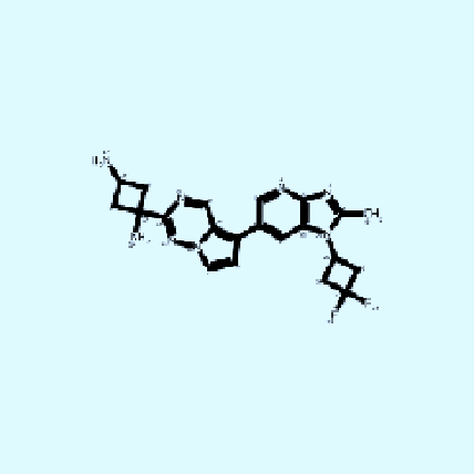 Cc1nc2ncc(-c3ccn4nc(C5(N)CC(N)C5)ncc34)cc2n1C1CC(F)(F)C1